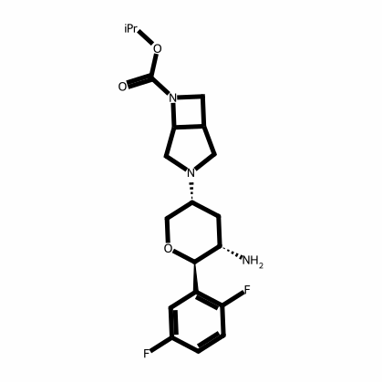 CC(C)OC(=O)N1CC2CN([C@H]3CO[C@H](c4cc(F)ccc4F)[C@@H](N)C3)CC21